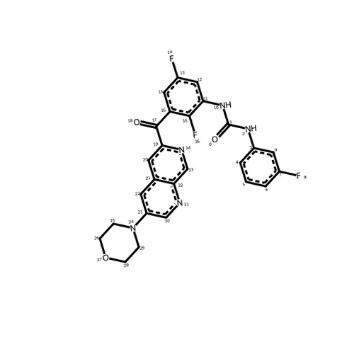 O=C(Nc1cccc(F)c1)Nc1cc(F)cc(C(=O)c2cc3cc(N4CCOCC4)cnc3cn2)c1F